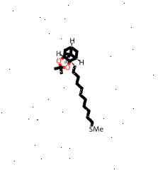 CSCCCCCCCCCCC[C@]12OC(C)(C)O[C@H]1C[C@H]1C[C@@H]2C1(C)C